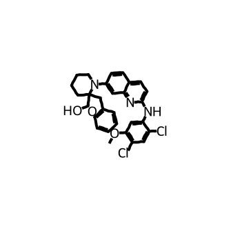 COc1cc(Nc2ccc3ccc(N4CCCCC4(Cc4ccccc4)C(=O)O)cc3n2)c(Cl)cc1Cl